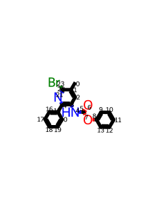 Cc1cc(NC(=O)Oc2ccccc2)c(-c2ccccc2)nc1Br